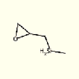 C[SiH2]CC1CO1